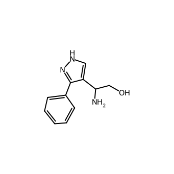 NC(CO)c1c[nH]nc1-c1ccccc1